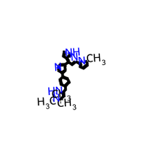 Cc1cccc(-c2cc(-c3cncc(-c4ccc(CC(=N)C[C@H](C)N(C)C)cc4)c3)c3cc[nH]c3n2)n1